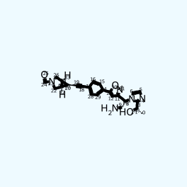 C[C@H](O)c1nccn1[C@H](CN)c1cc(-c2ccc(C#C[C@H]3[C@H]4CN(C=O)C[C@@H]34)cc2)on1